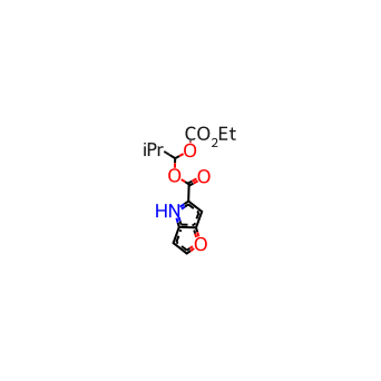 CCOC(=O)OC(OC(=O)c1cc2occc2[nH]1)C(C)C